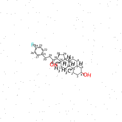 C[C@]12CC[C@H](O)C[C@@H]1CC[C@@H]1[C@@H]2CC[C@]2(C)[C@@H]([C@@H](O)CCc3ccc(F)cc3)CC[C@@H]12